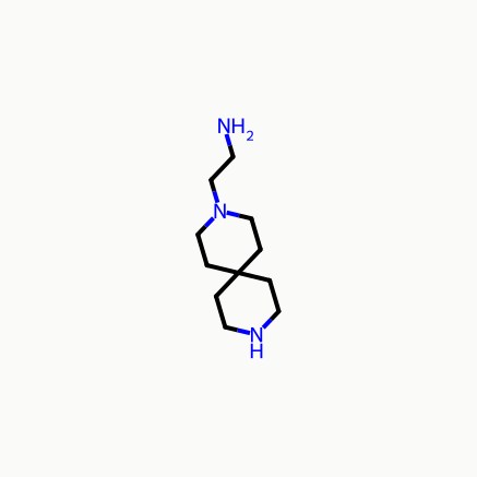 NCCN1CCC2(CCNCC2)CC1